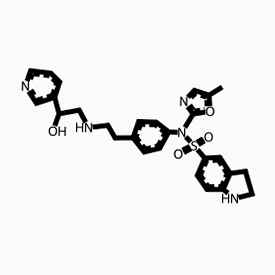 Cc1cnc(N(c2ccc(CCNCC(O)c3cccnc3)cc2)S(=O)(=O)c2ccc3c(c2)CCN3)o1